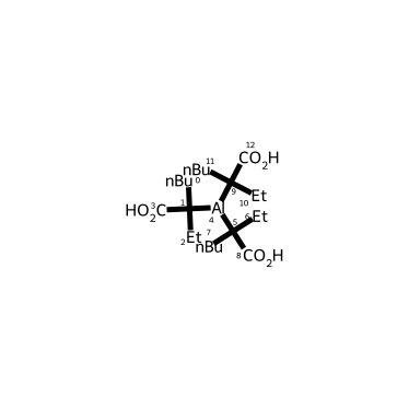 CCCC[C](CC)(C(=O)O)[Al]([C](CC)(CCCC)C(=O)O)[C](CC)(CCCC)C(=O)O